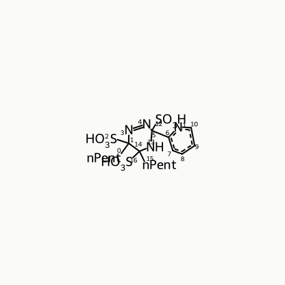 CCCCCC1(S(=O)(=O)O)N=NC(c2ccccn2)(S(=O)(=O)O)NC1(CCCCC)S(=O)(=O)O